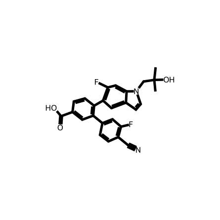 CC(C)(O)Cn1ccc2cc(-c3ccc(C(=O)O)cc3-c3ccc(C#N)c(F)c3)c(F)cc21